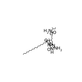 CCCCCCCCCCCCCCCCCC(=O)OC(C)C(CCCOC(=O)C(N)C(C)CC)Cn1cnc2c(=O)[nH]c(N)nc21